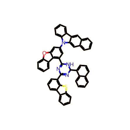 c1ccc2cc3c(cc2c1)c1ccccc1n3-c1cc(C2=NC(c3cccc4c3sc3ccccc34)=NC(c3cccc4ccccc34)N2)c2c(c1)oc1ccccc12